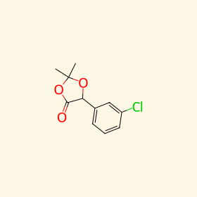 CC1(C)OC(=O)C(c2cccc(Cl)c2)O1